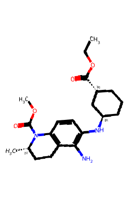 CCOC(=O)[C@@H]1CCC[C@@H](Nc2ccc3c(c2N)CC[C@H](C)N3C(=O)OC)C1